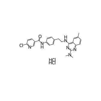 Cc1ccc2nc(N(C)C)nc(NCCc3ccc(NC(=O)c4ccc(Cl)nc4)cc3)c2c1.Cl.Cl